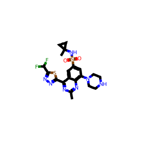 Cc1nc(-c2nnc(C(F)F)s2)c2cc(S(=O)(=O)NC3(C)CC3)cc(N3CCNCC3)c2n1